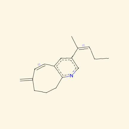 C=C1/C=C\c2cc(/C(C)=C\CC)cnc2CCC1